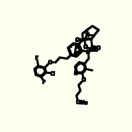 COCCCOc1nccc(CN(C(=O)C2=C(c3ccc(CCCOc4c(F)ccc(F)c4Cl)cc3)CC3CCC2N3C(=O)OC(C)(C)C)C2CC2)c1C